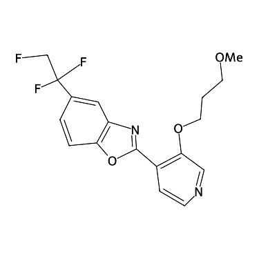 COCCCOc1cnccc1-c1nc2cc(C(F)(F)CF)ccc2o1